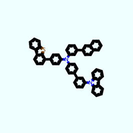 c1cc(-c2ccc3ccccc3c2)cc(N(c2ccc(-c3cccc(-n4c5ccccc5c5ccccc54)c3)cc2)c2ccc(-c3cccc4c3sc3ccccc34)cc2)c1